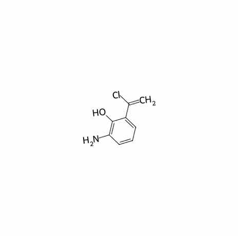 C=C(Cl)c1cccc(N)c1O